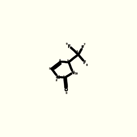 O=C1[N]C=CC(C(F)(F)F)[N]1